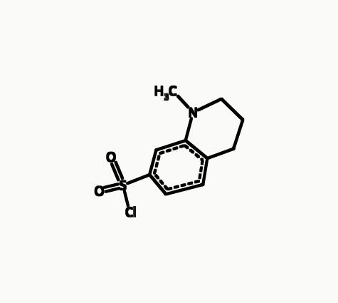 CN1CCCc2ccc(S(=O)(=O)Cl)cc21